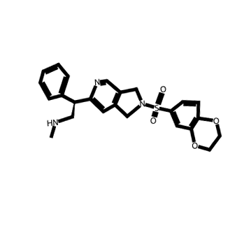 CNC[C@@H](c1ccccc1)c1cc2c(cn1)CN(S(=O)(=O)c1ccc3c(c1)OCCO3)C2